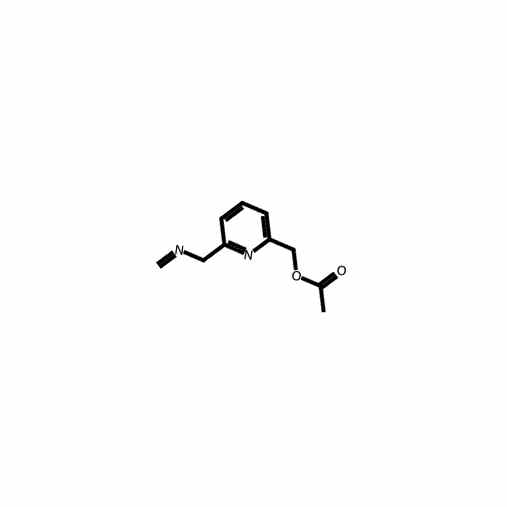 C=NCc1cccc(COC(C)=O)n1